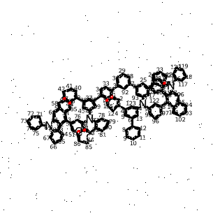 c1ccc(-c2cc(-c3ccccc3)cc(N(c3cc(-c4ccccc4)cc(-c4cccc(-c5ccc(-c6cc(-c7ccccc7)cc(N(c7cccc(-c8c9ccccc9cc9c8c8ccccc8n9-c8ccccc8)c7)c7ccccc7-c7ccccc7)c6)cc5)c4)c3)c3cccc(-c4c5ccccc5cc5c4c4ccccc4n5-c4ccccc4)c3)c2)cc1